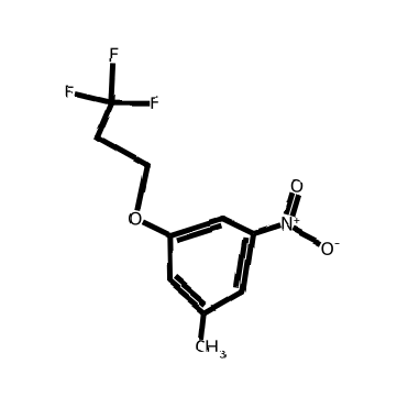 Cc1cc(OCCC(F)(F)F)cc([N+](=O)[O-])c1